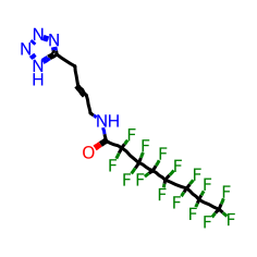 O=C(NCC=CCc1nnn[nH]1)C(F)(F)C(F)(F)C(F)(F)C(F)(F)C(F)(F)C(F)(F)C(F)(F)F